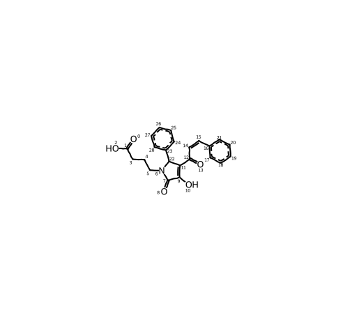 O=C(O)CCCN1C(=O)C(O)=C(C(=O)/C=C\c2ccccc2)C1c1ccccc1